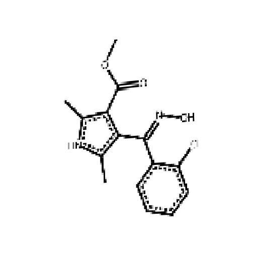 COC(=O)c1c(C)[nH]c(C)c1C(=NO)c1ccccc1Cl